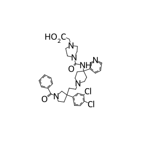 O=C(O)CN1CCN(C(=O)NC2(c3cccnc3)CCN(CCC3(c4ccc(Cl)c(Cl)c4)CCN(C(=O)c4ccccc4)C3)CC2)CC1